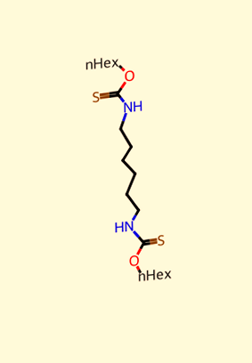 CCCCCCOC(=S)NCCCCCCNC(=S)OCCCCCC